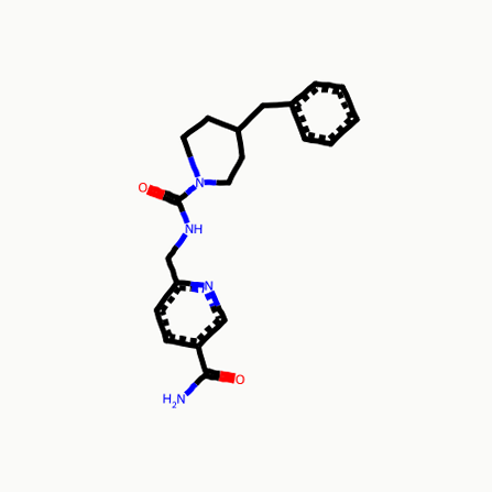 NC(=O)c1ccc(CNC(=O)N2CCC(Cc3ccccc3)CC2)nc1